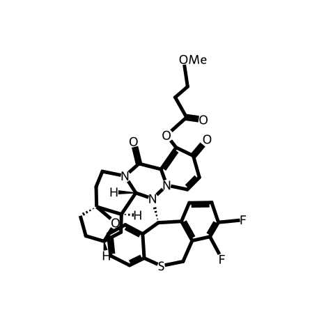 COCCC(=O)Oc1c2n(ccc1=O)N([C@H]1c3ccccc3SCc3c1ccc(F)c3F)[C@@H]1[C@H]3C[C@@H]4CC[C@@]3(CCN1C2=O)O4